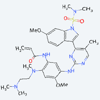 C=CC(=O)Nc1cc(Nc2ncc(C)c(-c3cn(S(=O)(=O)N(C)C)c4cc(OC)ccc34)n2)c(OC)cc1N(C)CCN(C)C